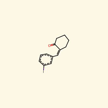 O=C1CCCCC1=Cc1cccc(I)c1